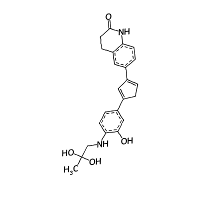 CC(O)(O)CNc1ccc(C2=CC(c3ccc4c(c3)CCC(=O)N4)=CC2)cc1O